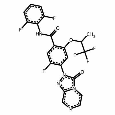 CC(Oc1cc(-n2nc3cnccn3c2=O)c(F)cc1C(=O)Nc1c(F)cccc1F)C(F)(F)F